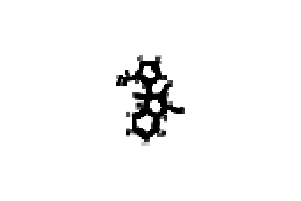 CC1=C(C)C(C)(C2=[C]([Zr])CC=C2)c2ccccc21